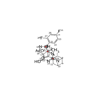 CC(=O)OC(C)(C)C(=O)N1CC2CC(C1)N2c1nc(O)c2cnn(-c3ccc(F)cc3F)c2n1